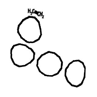 C1CCCCCCCCCCC1.C1CCCCCCCCCCC1.C1CCCCCCCCCCC1.C1CCCCCCCCCCC1.C=C